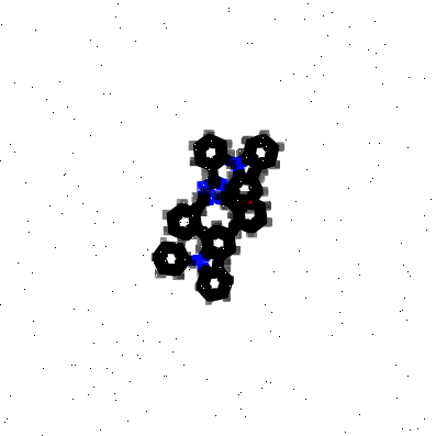 c1ccc(-n2c3ccccc3c3cc4cc(c5ccccc5c5nc(-c6ccccc6-n6c7ccccc7c7ccccc76)nc(n5)c5ccccc45)c32)cc1